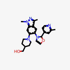 Cc1cc(C2OC=CN2c2cc3c(C)nn(C)c3cc2N2CCC(CO)CC2)ccn1